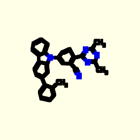 Cc1nc(C)nc(-c2ccc(-n3c4ccccc4c4ccc(-c5ccccc5C)cc43)cc2C#N)n1